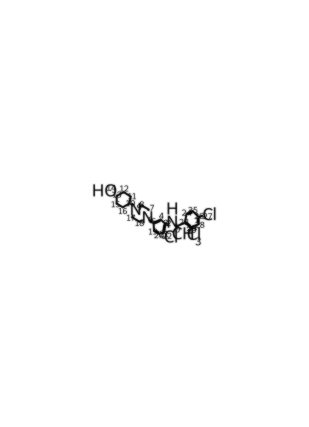 C[C@@H](Nc1cc(N2CCN([C@H]3CC[C@@H](O)CC3)CC2)ccc1Cl)c1ccc(Cl)cc1Cl